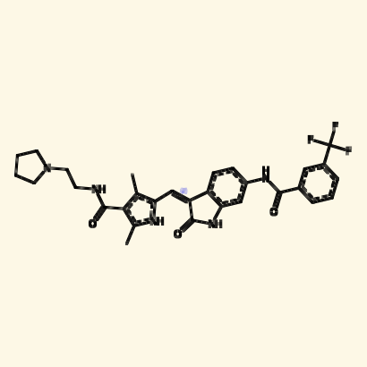 Cc1[nH]c(/C=C2\C(=O)Nc3cc(NC(=O)c4cccc(C(F)(F)F)c4)ccc32)c(C)c1C(=O)NCCN1CCCC1